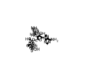 CCO.N.N.N.N.Nc1ncnc2c1ncn2[C@@H]1O[C@H](COP(=O)(O)OP(=O)(O)OP(=O)(O)O)[C@@H](O)[C@H]1O